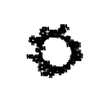 CCCC[C@H]1C(=O)N(C)CC(=O)N[C@@H](CC(=O)O)C(=O)N[C@@H](Cc2ccc(O)cc2)C(=O)N(C)C(Cc2ccccc2)C(=O)N[C@@H](Cc2ccc(O)cc2)C(=O)N(C)CC(=O)N[C@@H](Cc2c[nH]c3ccccc23)C(=O)N[C@@H](Cc2ccc(O)cc2)C(=O)N[C@@H](CC(C)C)C(=O)N[C@H](C(=O)NCC(N)=O)CSCC(=O)N[C@@H](Cc2ccccc2)C(=O)N(C)[C@@H](Cc2ccccc2)C(=O)N1C